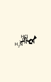 C[C@@H](N)c1nc(-c2ccnc(C3CC3)c2)no1.Cl